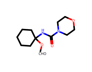 O=COC1(NC(=O)N2CCOCC2)CCCCC1